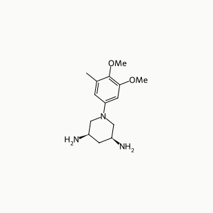 COc1cc(N2C[C@H](N)C[C@H](N)C2)cc(C)c1OC